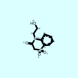 O=C1CS(=O)(=O)c2ccccc2N1CCO